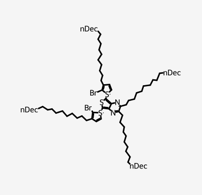 CCCCCCCCCCCCCCCCCCCCC1=C(Br)[S](c2sc([S]3C=CC(CCCCCCCCCCCCCCCCCCCC)=C3Br)c3nc(CCCCCCCCCCCCCCCCCCCC)c(CCCCCCCCCCCCCCCCCCCC)nc23)C=C1